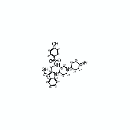 Cc1ccc(S(=O)(=O)NCc2c(CO)c3ccccc3n2C2CCN(C3CCC(C(C)C)CC3)CC2)cc1